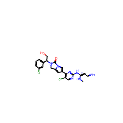 CN/C(=C\C=N)Nc1ncc(Cl)c(-c2cc3n(c2)C(=O)N(C(CO)c2cccc(Cl)c2)C3)n1